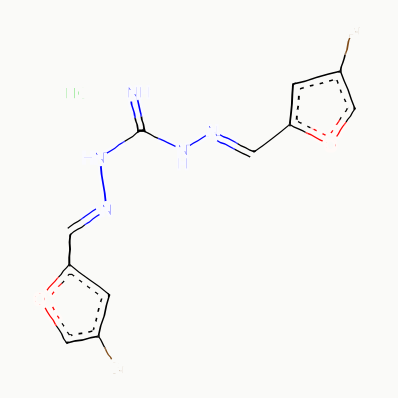 Cl.N=C(NN=Cc1cc(Br)co1)NN=Cc1cc(Br)co1